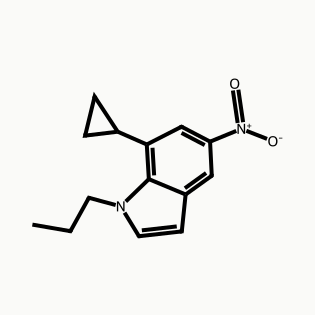 CCCn1ccc2cc([N+](=O)[O-])cc(C3CC3)c21